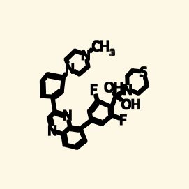 CN1CCN(c2cccc(-c3cnc4cccc(-c5cc(F)c(C(O)(O)N6CCSCC6)c(F)c5)c4n3)c2)CC1